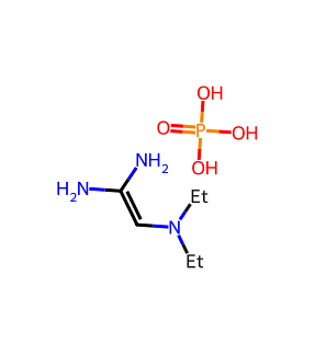 CCN(C=C(N)N)CC.O=P(O)(O)O